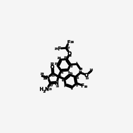 CCc1cc(C2(c3ccc(F)c(COC)c3)N=C(N)N(C)C2=O)ccc1OC(F)F